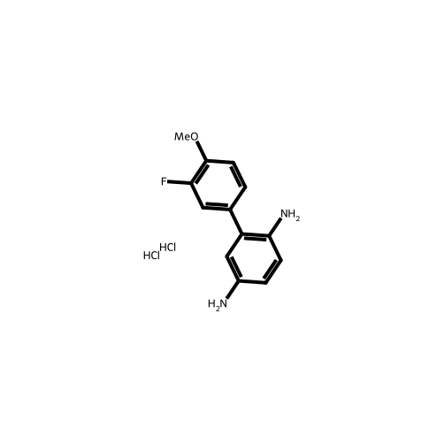 COc1ccc(-c2cc(N)ccc2N)cc1F.Cl.Cl